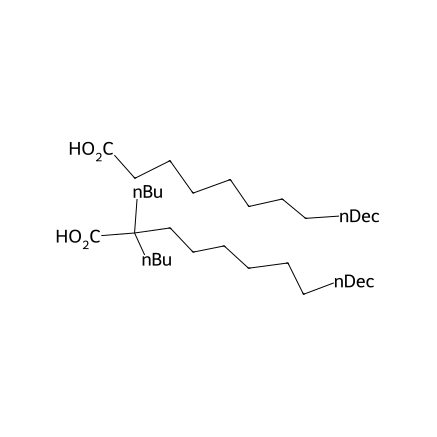 CCCCCCCCCCCCCCCCC(CCCC)(CCCC)C(=O)O.CCCCCCCCCCCCCCCCCC(=O)O